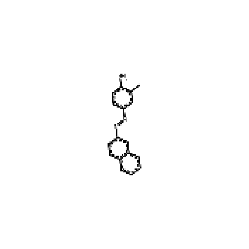 Cc1cc(N=Nc2ccc3ccccc3c2)ccc1N